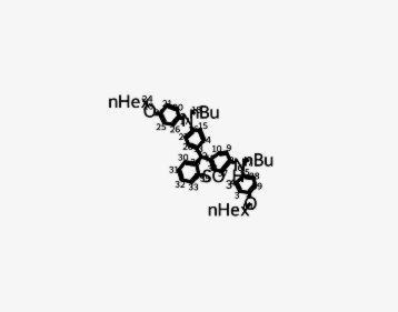 CCCCCCOc1ccc(N(CCCC)c2ccc(C(c3ccc(N(CCCC)c4ccc(OCCCCCC)cc4)cc3)c3ccccc3S(=O)(=O)O)cc2)cc1